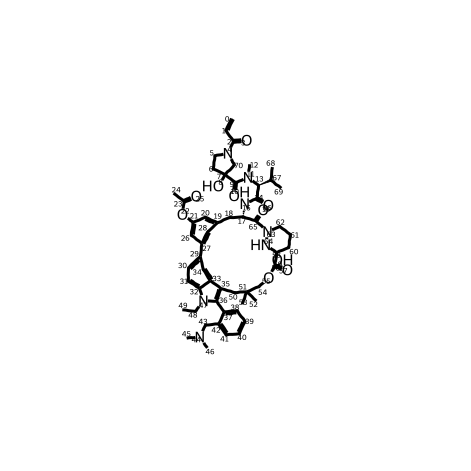 C=CC(=O)N1CCC(O)(C(=O)N(C)[C@H](C(=O)N[C@H]2Cc3cc(OC(C)=O)cc(c3)-c3ccc4c(c3)c(c(-c3ccccc3CN(C)C)n4CC)CC(C)(C)COC(=O)[C@@]3(O)CCCN(N3)C2=O)C(C)C)C1